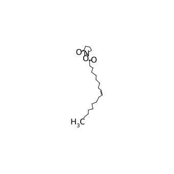 CCCCCCCC/C=C\CCCCCCCC(=O)ON1CCCC1=O